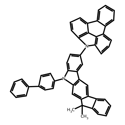 CC1(C)c2ccccc2-c2cc3c4cc(-n5c6cccc7c8ccccc8c8cccc5c8c76)ccc4n(-c4ccc(-c5ccccc5)cc4)c3cc21